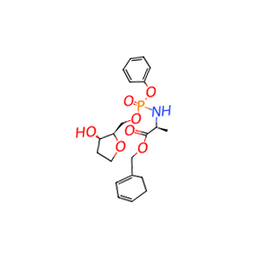 C[C@H](NP(=O)(OC[C@H]1OCC[C@H]1O)Oc1ccccc1)C(=O)OCC1=CC=CCC1